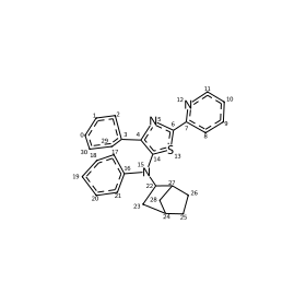 c1ccc(-c2nc(-c3ccccn3)sc2N(c2ccccc2)C2CC3CCC2C3)cc1